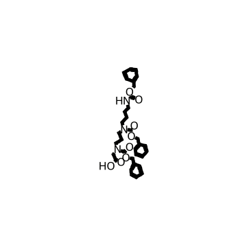 O=C(O)CN(CCCN(CCCCNC(=O)OCc1ccccc1)C(=O)OCc1ccccc1)C(=O)OCc1ccccc1